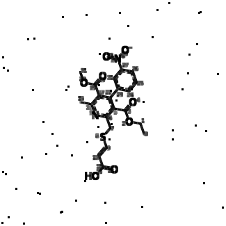 CCOC(=O)c1c(CSC=CC(=O)O)nc(C)c(C(=O)OC)c1-c1cccc([N+](=O)[O-])c1